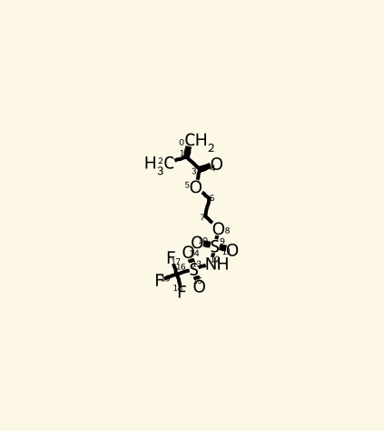 C=C(C)C(=O)OCCOS(=O)(=O)NS(=O)(=O)C(F)(F)F